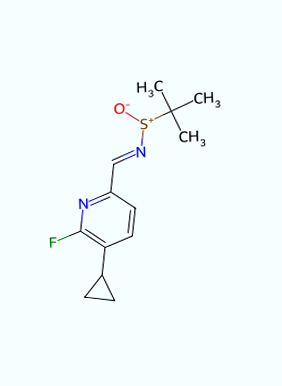 CC(C)(C)[S+]([O-])/N=C/c1ccc(C2CC2)c(F)n1